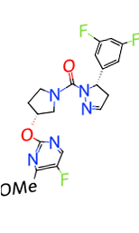 COc1nc(O[C@@H]2CCN(C(=O)N3N=CC[C@H]3c3cc(F)cc(F)c3)C2)ncc1F